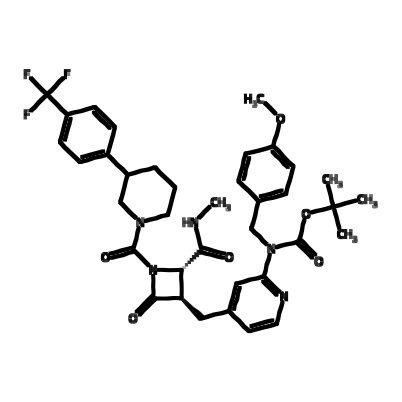 CNC(=O)[C@@H]1[C@@H](Cc2ccnc(N(Cc3ccc(OC)cc3)C(=O)OC(C)(C)C)c2)C(=O)N1C(=O)N1CCCC(c2ccc(C(F)(F)F)cc2)C1